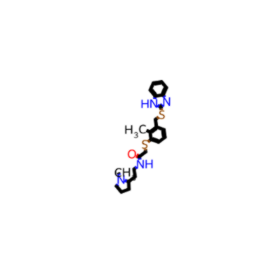 Cc1c(CSc2nc3ccccc3[nH]2)cccc1SCC(=O)NCCC1CCCN1C